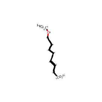 O=C(O)CCCCCCCOC(=O)O